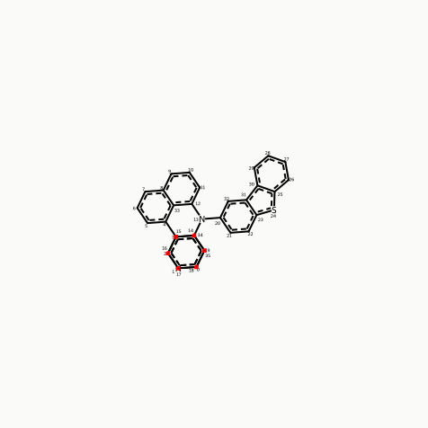 c1ccc(-c2cccc3cccc(N(c4ccncc4)c4ccc5sc6ccccc6c5c4)c23)cc1